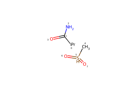 CC(C)C(N)=O.C[SH](=O)=O